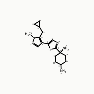 Cn1ncc(-c2cnc(C3(N)CCC(N)CC3)s2)c1CC1CC1